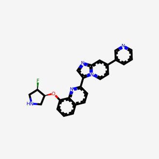 F[C@@H]1CNC[C@@H]1Oc1cccc2ccc(-c3cnc4cc(-c5cccnc5)ccn34)nc12